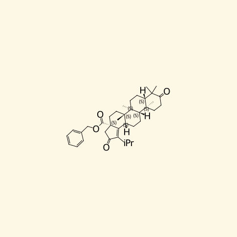 CC(C)C1=C2[C@H]3CC[C@H]4[C@]5(C)CCC(=O)C(C)(C)[C@H]5CC[C@]4(C)[C@@]3(C)CC[C@]2(C(=O)OCc2ccccc2)CC1=O